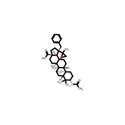 CC(=O)O[C@H]1CC[C@]2(C)[C@H]3CC[C@@H]4[C@H]5[C@@](C(=O)O)(CC[C@]5(Cc5ccccc5)C5(C)CC5)CC[C@@]4(C)[C@]3(C)CC[C@H]2C1(C)C